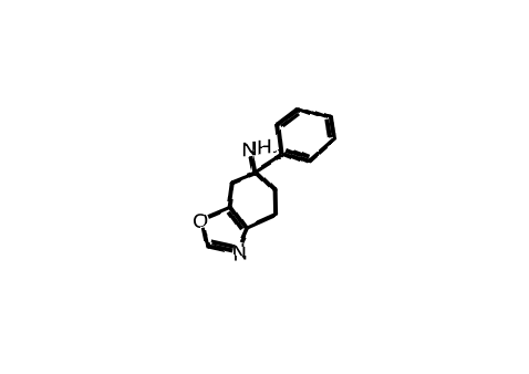 NC1(c2ccccc2)CCc2ncoc2C1